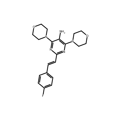 Nc1c(N2CCOCC2)nc(C=Cc2ccc(F)cc2)nc1N1CCOCC1